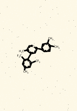 Cc1cc(C(F)(F)F)c(-c2cc(-c3ccc(C)c(C)c3)ccc2C)c(C(F)(F)F)c1